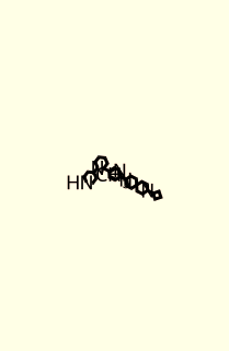 C[C@]1(c2ccc(N3CCC4(CC3)CCN(C3CCC3)CC4)nc2)CCCCN1C1CCNCC1